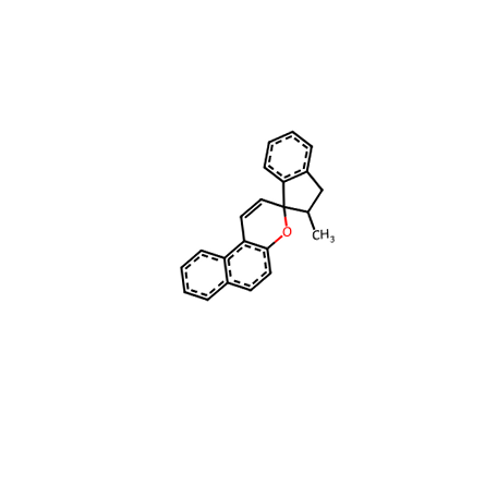 CC1Cc2ccccc2C12C=Cc1c(ccc3ccccc13)O2